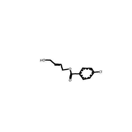 O=C(OCC=CCO)c1ccc(Cl)cc1